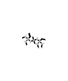 C=C[Si](OC)(OC)O[Si](C)(C)O[Si](CC)(OC)OC